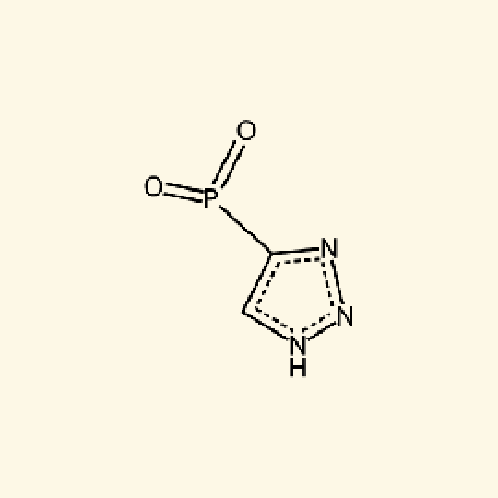 O=P(=O)c1c[nH]nn1